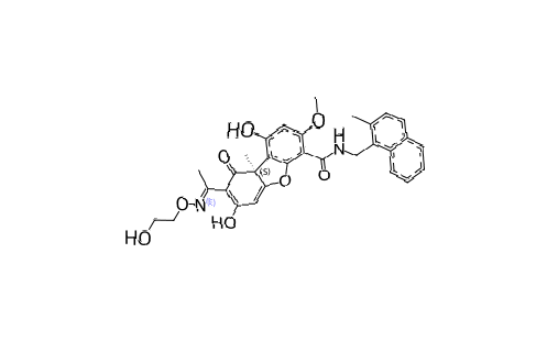 COc1cc(O)c2c(c1C(=O)NCc1c(C)ccc3ccccc13)OC1=CC(O)=C(/C(C)=N/OCCO)C(=O)[C@]12C